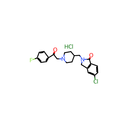 Cl.O=C(CN1CCC(CN2Cc3cc(Cl)ccc3C2=O)CC1)c1ccc(F)cc1